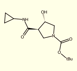 CC(C)(C)OC(=O)N1C[C@@H](O)[C@H](C(=O)NC2CC2)C1